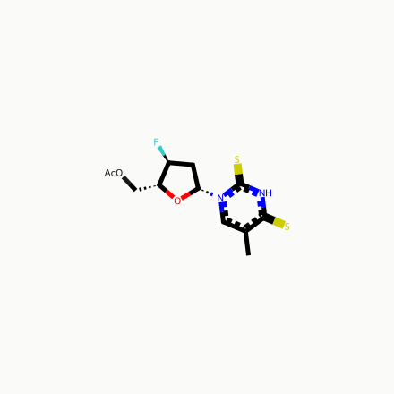 CC(=O)OC[C@H]1O[C@@H](n2cc(C)c(=S)[nH]c2=S)C[C@@H]1F